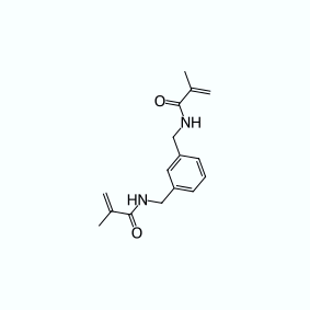 C=C(C)C(=O)NCc1cccc(CNC(=O)C(=C)C)c1